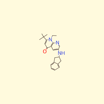 CCn1c(C(C)(C)C)cc(=O)c2cc(NC3Cc4ccccc4C3)cnc21